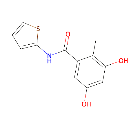 Cc1c(O)cc(O)cc1C(=O)Nc1cccs1